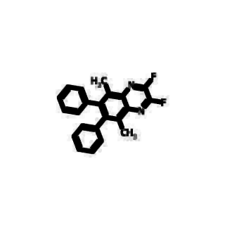 Cc1c(-c2ccccc2)c(-c2ccccc2)c(C)c2nc(F)c(F)nc12